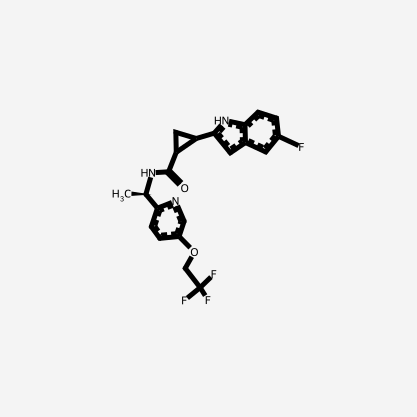 C[C@@H](NC(=O)C1CC1c1cc2cc(F)ccc2[nH]1)c1ccc(OCC(F)(F)F)cn1